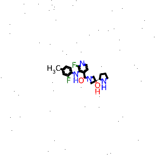 Cc1ccc(Nc2c(C(=O)N3CC(O)([C@@H]4CCCN4)C3)ccnc2F)c(F)c1